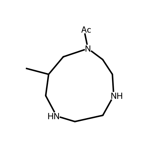 CC(=O)N1CCNCCNCC(C)C1